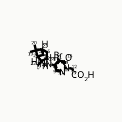 C[C@H]1[C@H]2C[C@H](C[C@H]1Nc1cnn(CC(=O)O)c(=O)c1Br)C2(C)C